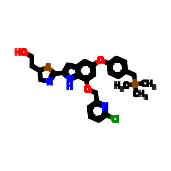 CS(C)(C)Cc1ccc(Oc2cc(OCc3cccc(Cl)n3)c3[nH]c(C4=NCC(CCO)S4)cc3c2)cc1